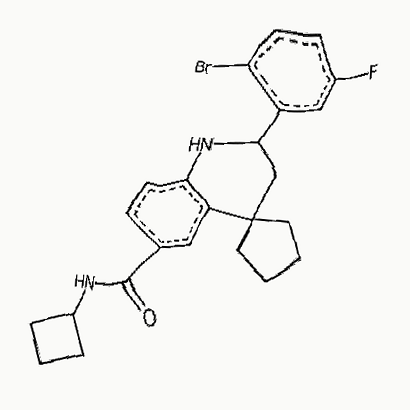 O=C(NC1CCC1)c1ccc2c(c1)C1(CCCC1)CC(c1cc(F)ccc1Br)N2